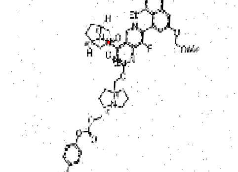 CCc1c(F)ccc2cc(OCOC)cc(-c3ncc4c(N5C[C@H]6CC[C@@H](C5)N6C(=O)OC(C)(C)C)nc(OC[C@@]56CCCN5[C@H](COC(=O)Oc5ccc([N+](=O)[O-])cc5)CC6)nc4c3F)c12